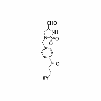 CC(C)CCC(=O)c1ccc(CN2CC(C=O)NS2(=O)=O)cc1